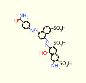 NC(=O)c1ccc(N=Nc2ccc(N=Nc3c(S(=O)(=O)O)cc4cc(S(=O)(=O)O)c(N)cc4c3O)c3cc(S(=O)(=O)O)ccc23)cc1